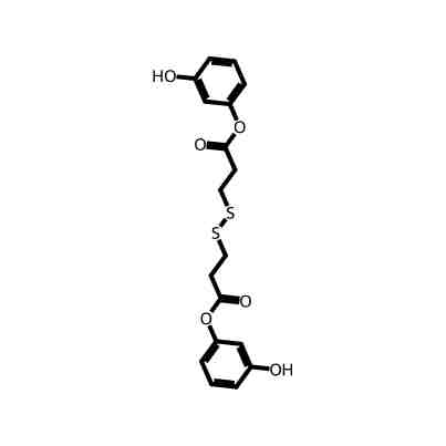 O=C(CCSSCCC(=O)Oc1cccc(O)c1)Oc1cccc(O)c1